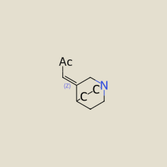 CC(=O)/C=C1\CN2CCC1CC2